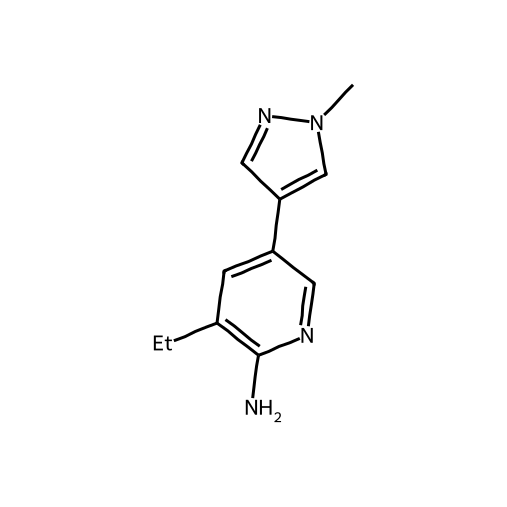 CCc1cc(-c2cnn(C)c2)cnc1N